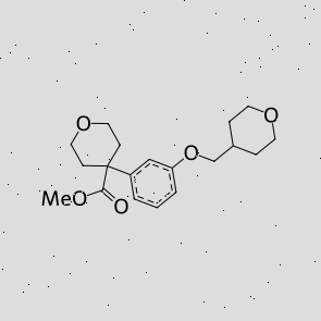 COC(=O)C1(c2cccc(OCC3CCOCC3)c2)CCOCC1